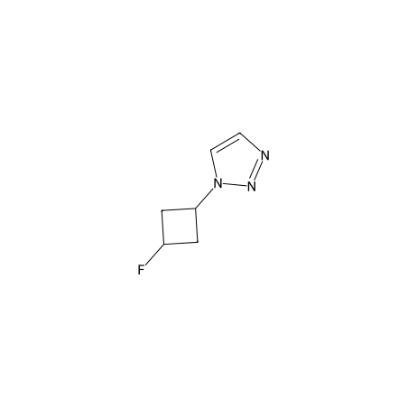 FC1CC(n2ccnn2)C1